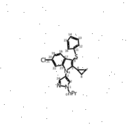 CCCn1cc(-n2c(C3CC3)c(Sc3ccccc3)c3ccc(Cl)cc32)cn1